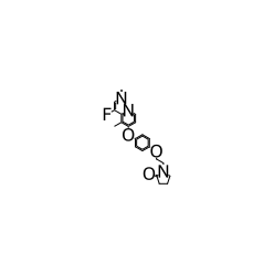 C=N/C=C(/F)c1nccc(Oc2ccc(OCCN3CCCC3=O)cc2)c1C